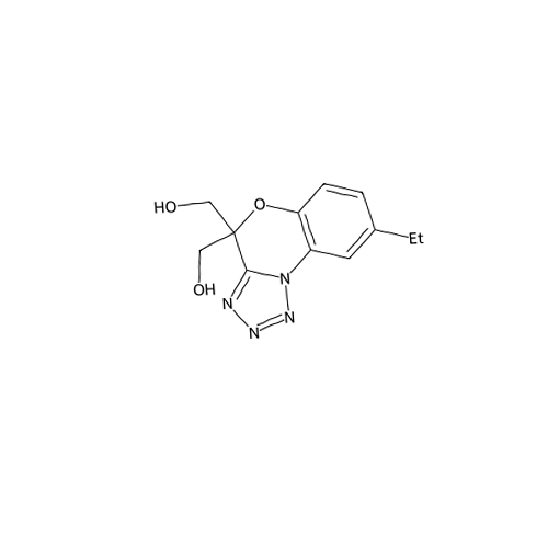 CCc1ccc2c(c1)-n1nnnc1C(CO)(CO)O2